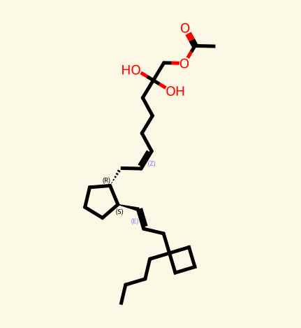 CCCCC1(C/C=C/[C@H]2CCC[C@@H]2C/C=C\CCCC(O)(O)COC(C)=O)CCC1